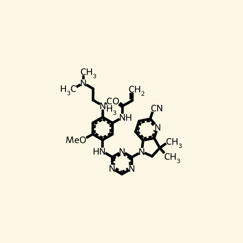 C=CC(=O)Nc1cc(Nc2ncnc(N3CC(C)(C)c4nc(C#N)ccc43)n2)c(OC)cc1N(C)CCN(C)C